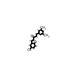 Cc1cc(C)cc(C=CC(=O)c2cc3cc(Cl)ccc3o2)c1